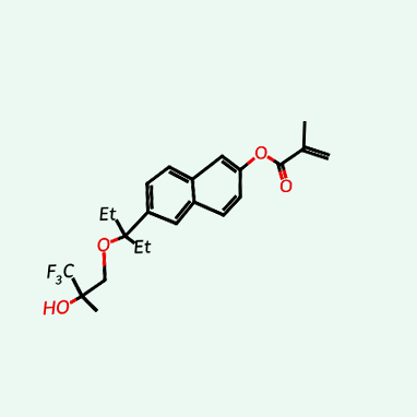 C=C(C)C(=O)Oc1ccc2cc(C(CC)(CC)OCC(C)(O)C(F)(F)F)ccc2c1